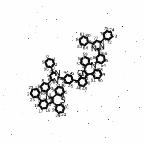 c1ccc(-c2cc(-c3cccc(-n4c5c(c6cccc(-c7ccccc7)c64)-c4ccccc4Sc4ccccc4-5)c3)nc(-c3ccc(-c4cccc5c6c(oc45)-c4ccccc4N(c4cccc(-c5nc(-c7ccccc7)cc(-c7ccccc7)n5)c4)c4ccccc4-6)cc3)n2)cc1